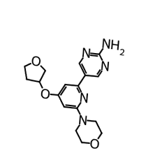 Nc1ncc(-c2cc(OC3CCOC3)cc(N3CCOCC3)n2)cn1